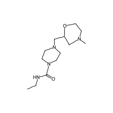 CCNC(=O)N1CCN(CC2CN(C)CCO2)CC1